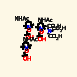 CC(=O)NC1CC(C)(C)N(OCC(C)(C)O)C(C)(C)C1.CC(=O)NC1CC(C)(C)N(OCC(C)(C)O)C(C)(C)C1.CC(=O)NC1CC(C)(C)N(OCC(C)(C)O)C(C)(C)C1.O=C(O)CN(CC(=O)O)CC(=O)O